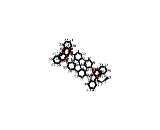 C#C/C=C\c1c(C)n(-c2ccc3c(c2)C2(c4cc(-n5c6ccccc6c6ccccc65)ccc4-3)c3cc(-n4c5ccccc5c5ccccc54)ccc3-c3ccc(-n4c5ccccc5c5ccccc54)cc32)c2ccccc12